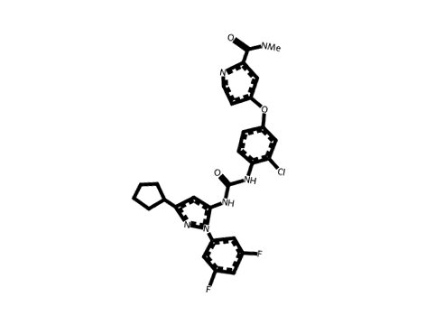 CNC(=O)c1cc(Oc2ccc(NC(=O)Nc3cc(C4CCCC4)nn3-c3cc(F)cc(F)c3)c(Cl)c2)ccn1